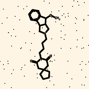 COC1c2ccccc2C2CN(CCCCN3C(=O)CC4(CCCC4)CC3=O)CC21